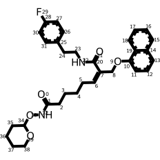 O=C(CCCCC=C(COc1cccc2ccccc12)C(=O)NCCc1ccc(F)cc1)NOC1CCCCO1